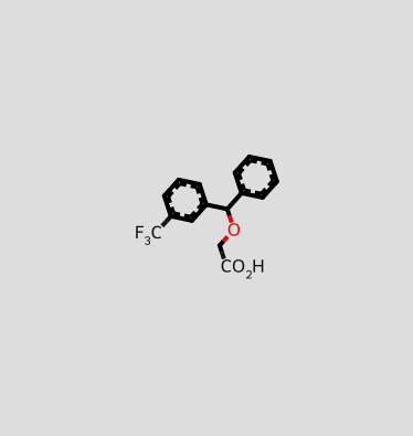 O=C(O)COC(c1ccccc1)c1cccc(C(F)(F)F)c1